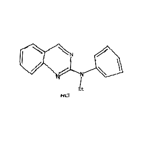 CCN(c1ccccc1)c1ncc2ccccc2n1.Cl